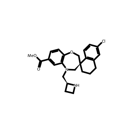 COC(=O)c1ccc2c(c1)N(C[C@@H]1CCN1)C[C@@]1(CCCc3cc(Cl)ccc31)CO2